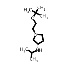 CC(C)N[C@H]1CCN(CCOC(C)(C)C)C1